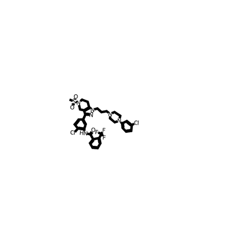 CS(=O)(=O)N1CCc2c(c(-c3ccc(Cl)c(NC(=O)c4ccccc4C(F)(F)F)c3)nn2CCCN2CCN(c3cccc(Cl)c3)CC2)C1